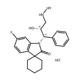 CCCNC[C@@H](O)[C@H](c1ccccc1)N1C(=O)C2(CCCCC2)c2ccc(F)cc21.Cl